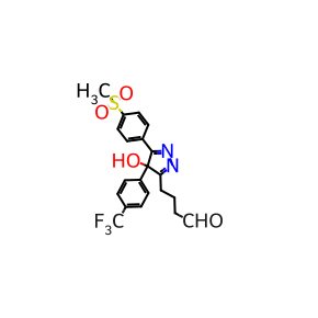 CS(=O)(=O)c1ccc(C2=NN=C(CCCC=O)C2(O)c2ccc(C(F)(F)F)cc2)cc1